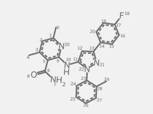 Cc1cc(C)c(C(N)=O)c(Nc2cc(-c3ccc(F)cc3)nn2-c2ccccc2C)n1